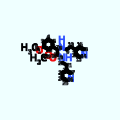 COc1cccc(C(NCCc2ccncc2)C(=O)NCCc2cccnc2)c1OC